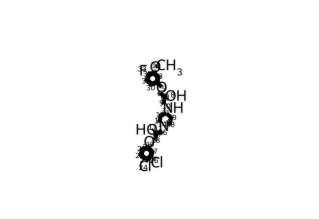 COc1cc(OC[C@H](O)CNC2CCN(C[C@H](O)COc3ccc(Cl)c(Cl)c3)CC2)ccc1F